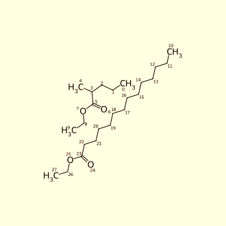 CCCC(C)C(=O)OCC.CCCCCCCCCCCCCC(=O)OCC